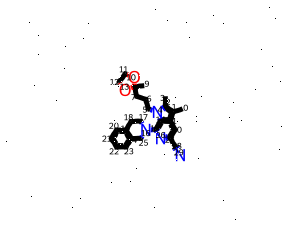 Cc1c(C)n(CCCC2(C)OCCO2)c2c(N3CCc4ccccc4C3)nc(C#N)cc12